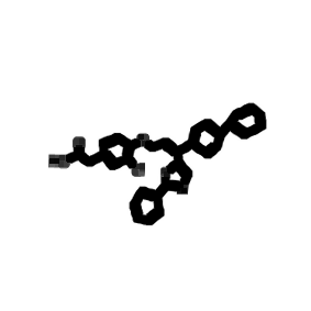 O=C(O)Cc1ccc(OCC=C(c2ccc(-c3ccccc3)cc2)c2cnc(-c3ccccc3)s2)c(Cl)c1